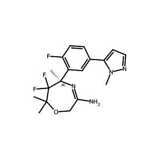 Cn1nccc1-c1ccc(F)c([C@@]2(C)N=C(N)COC(C)(C)C2(F)F)c1